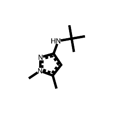 Cc1cc(NC(C)(C)C)nn1C